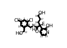 O=C(NCc1c(Cl)cc(Cl)cc1CO)[C@](F)(CCCO)c1cccnc1O